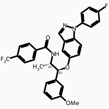 COc1cccc([C@H](Oc2ccc3c(cnn3-c3ccc(F)cc3)c2)[C@H](C)NC(=O)c2ccc(C(F)(F)F)cc2)c1